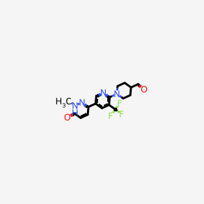 CN/N=C(\C=C/C=O)c1cnc(N2CCC(C=O)CC2)c(C(F)(F)F)c1